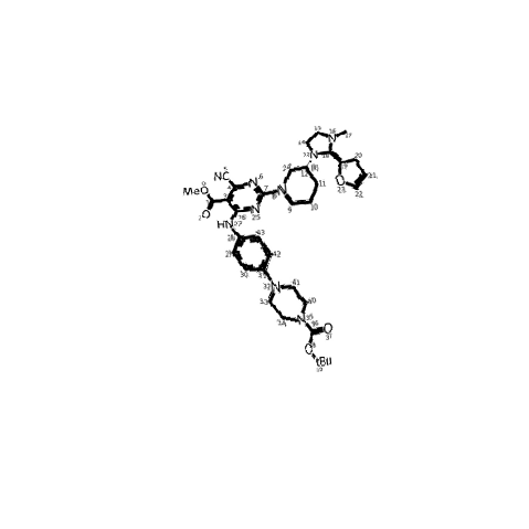 COC(=O)c1c(C#N)nc(N2CCC[C@@H](N3CCN(C)C3=C3CC=CO3)C2)nc1Nc1ccc(N2CCN(C(=O)OC(C)(C)C)CC2)cc1